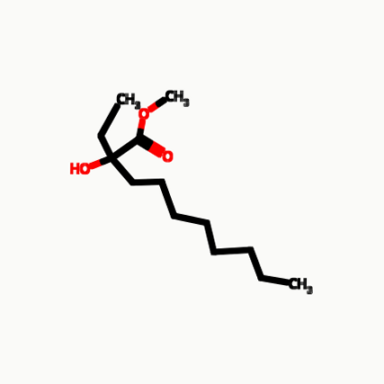 CCCCCCCCC(O)(CC)C(=O)OC